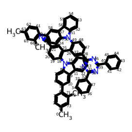 Cc1ccc(-c2ccc3c(c2)c2ccccc2n3-c2ccc(C#N)cc2-c2cc(-c3nc(-c4ccccc4)nc(-c4ccccc4)n3)ccc2-n2c3ccccc3c3cc(-c4ccc(C)cc4C)ccc32)c(C)c1